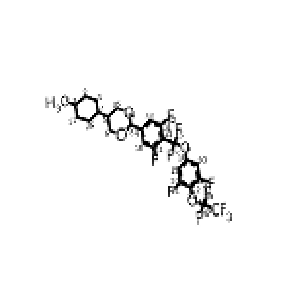 CC1CCC(C2COC(c3cc(F)c(C(F)(F)Oc4cc(F)c(OC(F)(F)C(F)(F)F)c(F)c4)c(F)c3)OC2)CC1